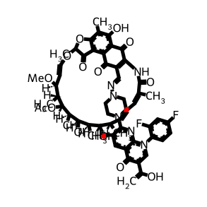 C=C(O)c1cn(-c2ccc(F)cc2F)c2nc(N3CCN(/N=C/C4=C5NC(=O)/C(C)=C\C=C\[C@H](C)[C@H](O)[C@@H](C)[C@@H](O)[C@@H](C)[C@H](OC(C)=O)[C@H](C)[C@@H](OC)/C=C/O[C@@]6(C)Oc7c(C)c(O)c(c(c7C6=O)C4=O)C5=O)CC3)c(F)cc2c1=O